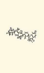 CN(C(=O)c1cc[n+]([O-])cc1)c1cccc(C(=O)Nc2c(Br)cc(C(F)(C(F)(F)F)C(F)(F)F)cc2C(F)(F)F)c1F